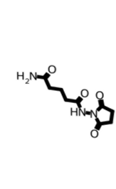 NC(=O)CCCC(=O)NN1C(=O)CCC1=O